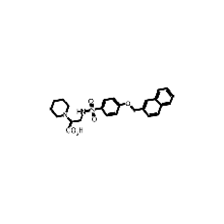 O=C(O)C(CNS(=O)(=O)c1ccc(OCc2ccc3ccccc3c2)cc1)N1CCCCC1